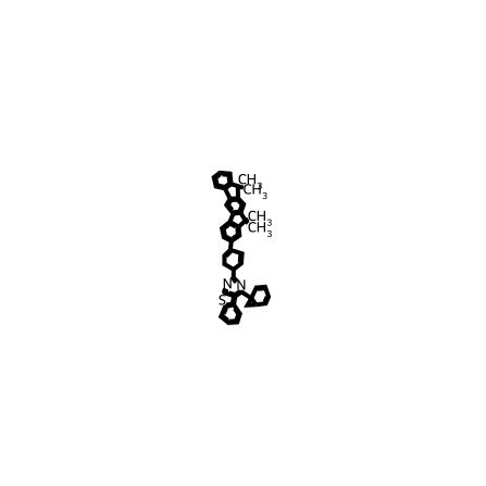 CC1(C)c2ccccc2-c2cc3c(cc21)C(C)(C)c1cc(C2=CCC(c4nc(C56C=CC=CC5C6)c5c(n4)sc4ccccc45)C=C2)ccc1-3